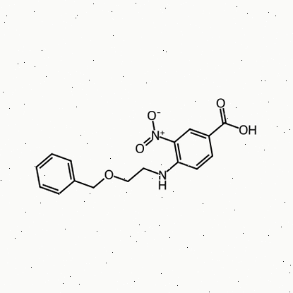 O=C(O)c1ccc(NCCOCc2ccccc2)c([N+](=O)[O-])c1